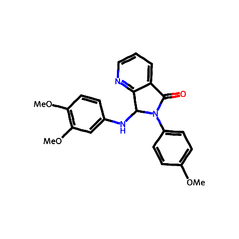 COc1ccc(N2C(=O)c3cccnc3C2Nc2ccc(OC)c(OC)c2)cc1